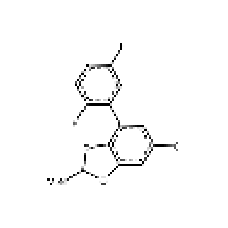 CNC1Oc2cc(Cl)cc(-c3cc(F)ccc3F)c2O1